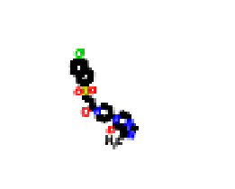 Cc1ncn2c1C(=O)N(C1CCN(C(=O)CCS(=O)(=O)c3ccc4cc(Cl)ccc4c3)CC1)CC2